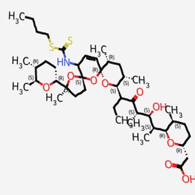 CCCCSC(=S)NC1C=C[C@]2(O[C@H](C(CC)C(=O)[C@@H](C)[C@@H](O)[C@H](C)[C@@H]3O[C@@H](CC(=O)O)CC[C@@H]3C)[C@@H](C)C[C@H]2C)O[C@@]12CC[C@@](C)([C@H]1CC[C@@H](C)[C@H](C)O1)O2